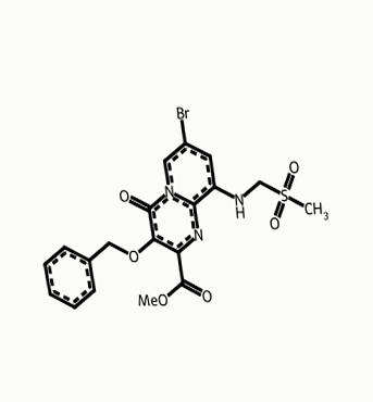 COC(=O)c1nc2c(NCS(C)(=O)=O)cc(Br)cn2c(=O)c1OCc1ccccc1